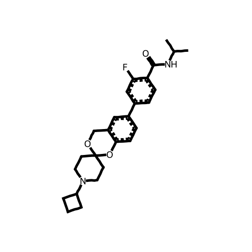 CC(C)NC(=O)c1ccc(-c2ccc3c(c2)COC2(CCN(C4CCC4)CC2)O3)cc1F